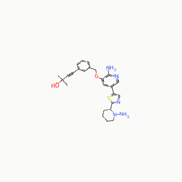 CC(C)(O)C#Cc1cccc(COc2cc(-c3cnc(C4CCCCN4N)s3)cnc2N)c1